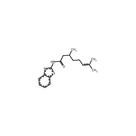 CC(C)=CCCC(C)CC(=O)Nc1nc2ccccc2s1